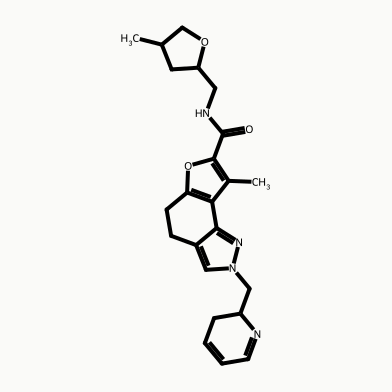 Cc1c(C(=O)NCC2CC(C)CO2)oc2c1-c1nn(CC3CC=CC=N3)cc1CC2